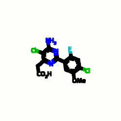 COc1cc(-c2nc(N)c(Cl)c(CC(=O)O)n2)c(F)cc1Cl